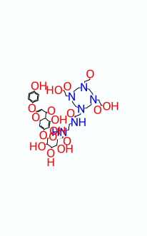 O=CCN1CCN(CC(=O)O)CCN(CC(=O)NCCNC(=O)[C@H]2OC(OC3=CC4OC(Oc5ccc(O)cc5)=CC(=O)C4C(O)=C3O)[C@H](O)[C@@H](O)C2O)CCN(CC(=O)O)CC1